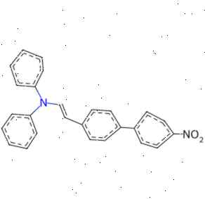 O=[N+]([O-])c1ccc(-c2ccc(C=CN(c3ccccc3)c3ccccc3)cc2)cc1